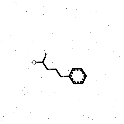 [O]C(F)CCCc1ccccc1